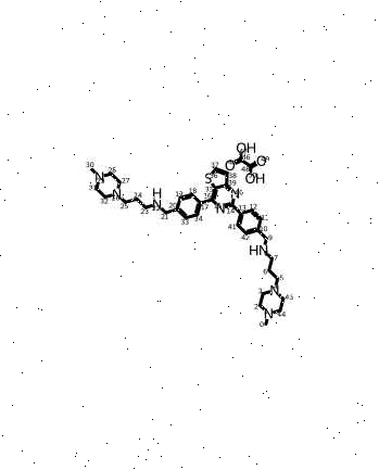 CN1CCN(CCCNCc2ccc(-c3nc(-c4ccc(CNCCCN5CCN(C)CC5)cc4)c4sccc4n3)cc2)CC1.O=C(O)C(=O)O